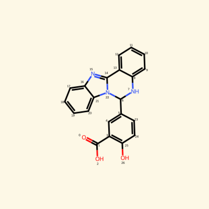 O=C(O)c1cc(C2Nc3ccccc3-c3nc4ccccc4n32)ccc1O